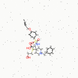 CC#CCOc1ccc(S(=O)(=O)NC(C(=O)O)C2(SCCO)CCN(Cc3ccccc3)CC2)cc1